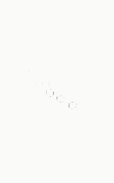 C=CCCC1OCC(c2ccc(-c3ccc(-c4ccc(CC)c(F)c4F)cc3)cc2F)CO1